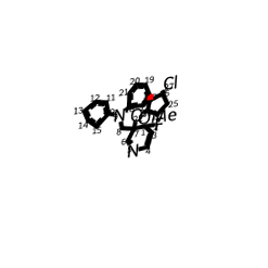 COC1(F)C=CN=CC1(CN(c1ccccc1)c1ccccc1)OC1CCC(Cl)C1